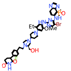 CCc1cc(Nc2ncc(Br)c(Nc3ccc4nccnc4c3P(C)(C)=O)n2)c(OC)cc1N1CCC(N2CCN(CCc3ccc(C4CCC(=O)NC4=O)c(F)c3)[C@H](CO)C2)CC1